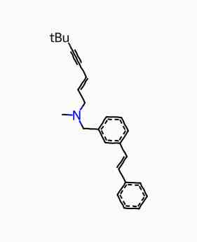 CN(CC=CC#CC(C)(C)C)Cc1cccc(C=Cc2ccccc2)c1